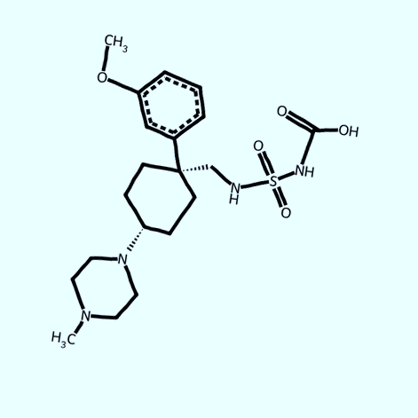 COc1cccc([C@]2(CNS(=O)(=O)NC(=O)O)CC[C@@H](N3CCN(C)CC3)CC2)c1